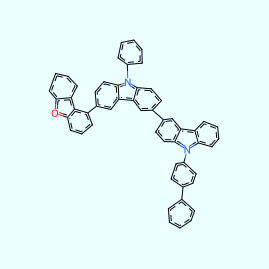 c1ccc(-c2ccc(-n3c4ccccc4c4cc(-c5ccc6c(c5)c5cc(-c7cccc8oc9ccccc9c78)ccc5n6-c5ccccc5)ccc43)cc2)cc1